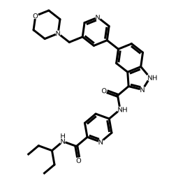 CCC(CC)NC(=O)c1ccc(NC(=O)c2n[nH]c3ccc(-c4cncc(CN5CCOCC5)c4)cc23)cn1